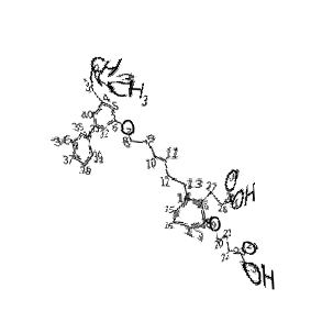 CN(C)Cc1cc(OCCCCCCc2cccc(OCCCC(=O)O)c2CCC(=O)O)cc(-c2ccccc2)c1